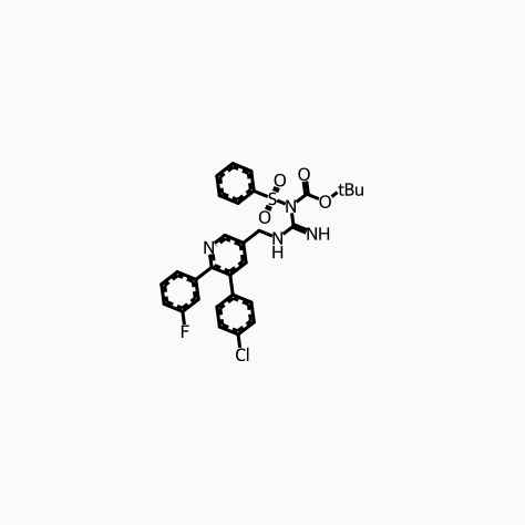 CC(C)(C)OC(=O)N(C(=N)NCc1cnc(-c2cccc(F)c2)c(-c2ccc(Cl)cc2)c1)S(=O)(=O)c1ccccc1